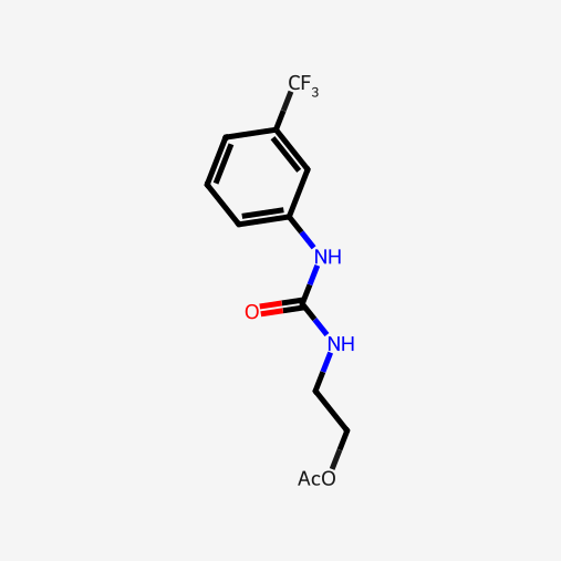 CC(=O)OCCNC(=O)Nc1cccc(C(F)(F)F)c1